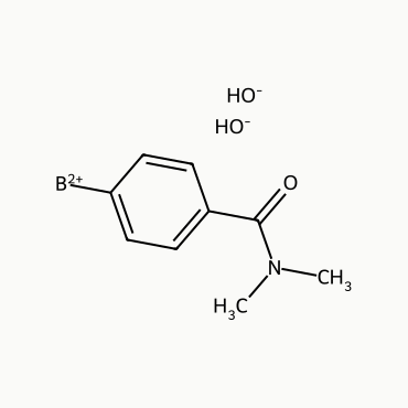 [B+2]c1ccc(C(=O)N(C)C)cc1.[OH-].[OH-]